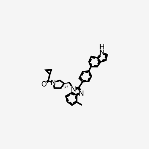 Cc1cccc2c1nc(-c1ccc(-c3ccc4[nH]ccc4c3)cc1)n2C[C@H]1CCN(C(=O)C2CC2)C1